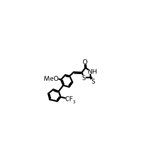 COc1cc(/C=C2\SC(=S)NC2=O)ccc1-c1ccccc1C(F)(F)F